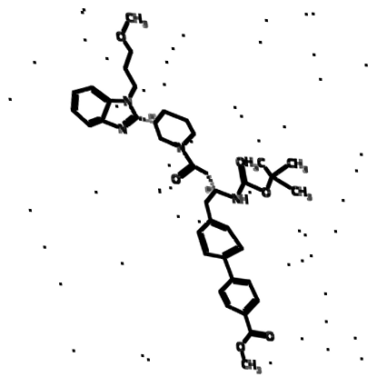 COCCCn1c([C@@H]2CCCN(C(=O)C[C@@H](Cc3ccc(-c4ccc(C(=O)OC)cc4)cc3)NC(=O)OC(C)(C)C)C2)nc2ccccc21